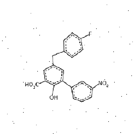 O=C(O)c1cc(Cc2ccc(F)cc2)cc(-c2cccc([N+](=O)[O-])c2)c1O